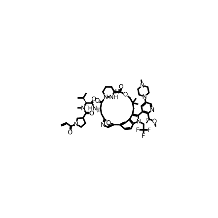 C=CC(=O)N1CCC(C(=O)N(C)[C@H](C(=O)N[C@H]2Cc3ncc(o3)-c3ccc4c(c3)c(c(-c3cc(N5CCN(C)CC5)cnc3[C@H](C)OC)n4CC(F)(F)F)CC(C)(C)COC(=O)[C@@H]3CCCN(N3)C2=O)C(C)C)C1